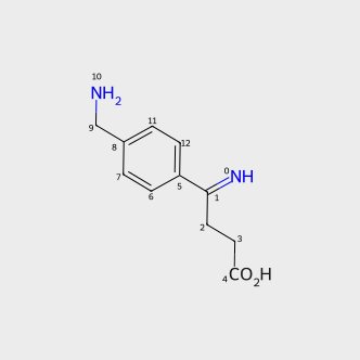 N=C(CCC(=O)O)c1ccc(CN)cc1